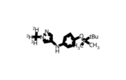 [2H]C([2H])([2H])n1cc(Nc2ccc(O[Si](C)(C)C(C)(C)C)cc2)cn1